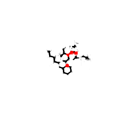 CCC(CC)CN(C(=O)[C@@H](CC(=O)NCC(C)(C)O)Cc1csc(N)n1)[C@@H](CC1CCCCC1)[C@@H](O)[C@@H](O)CC(C)C